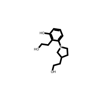 OCCc1c(O)cccc1N1CCC(CCO)C1